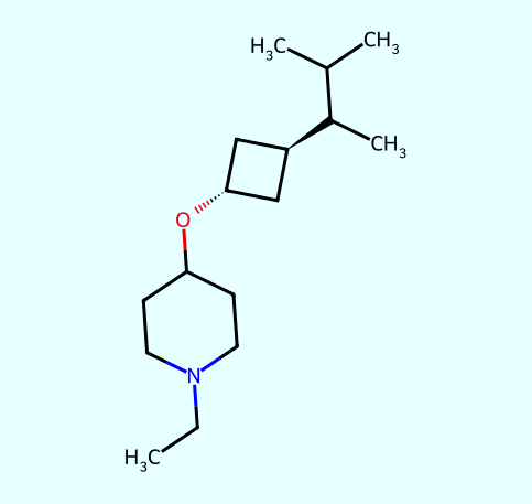 CCN1CCC(O[C@H]2C[C@H](C(C)C(C)C)C2)CC1